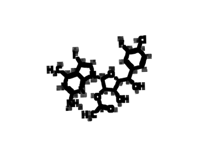 CC(=O)O[C@@H]1[C@H](O)[C@@H]([C@H](O)c2ccc(Cl)c(F)c2)O[C@H]1n1cc(F)c2c(C)nc(N)nc21